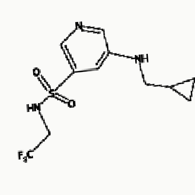 O=S(=O)(NCC(F)(F)F)c1cncc(NCC2CC2)c1